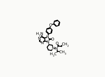 C=CC(=O)N(C(C)C)N1CCC[C@@H](n2c(=O)n(-c3ccc(Oc4ccccc4)cc3)c3c(N)ncnc32)C1